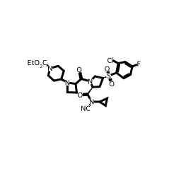 CCOC(=O)N1CCC(N2CCC2C(=O)N2C[C@H](S(=O)(=O)c3ccc(F)cc3Cl)C[C@H]2C(=O)N(C#N)C2CC2)CC1